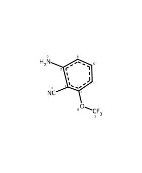 N#Cc1c(N)cccc1OC(F)(F)F